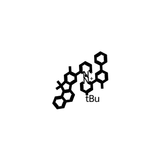 Cc1ccc(-c2ccccc2)cc1-c1cc(C(C)(C)C)cc[n+]1-[n+]1ccccc1-c1cc2c(cc1C)C(C)(C)c1c-2ccc2ccccc12